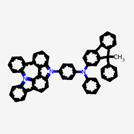 CC1(c2ccccc2)c2ccccc2-c2ccc(N(c3ccccc3)c3ccc(-n4c5cccc6c7ccccc7n7c8ccccc8c8ccc4c(c65)c87)cc3)cc21